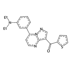 CCN(CC)c1cccc(-c2ccnc3c(C(=O)c4cccs4)cnn23)c1